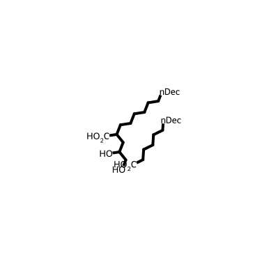 CCCCCCCCCCCCCCCC(=O)O.CCCCCCCCCCCCCCCCC(CC(O)CO)C(=O)O